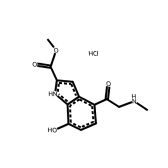 CNCC(=O)c1ccc(O)c2[nH]c(C(=O)OC)cc12.Cl